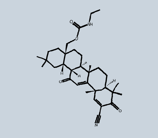 CCNC(=O)OC[C@]12CCC(C)(C)C[C@H]1[C@H]1C(=O)C=C3[C@@]4(C)C=C(C#N)C(=O)C(C)(C)[C@@H]4CC[C@@]3(C)[C@]1(C)CC2